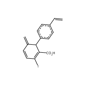 C=Cc1ccc(C2C(=C)C=CC(I)=C2C(=O)O)cc1